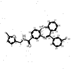 Cc1ccc(CNC(=O)c2ccc3c(c2)N=C(c2cccc(F)c2)c2ccccc2S3)o1